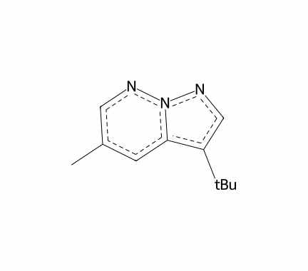 Cc1cnn2ncc(C(C)(C)C)c2c1